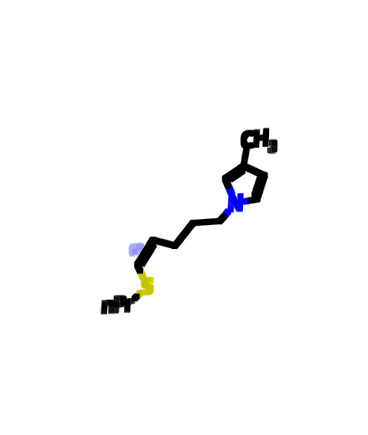 CCCS/C=C\CCCn1ccc(C)c1